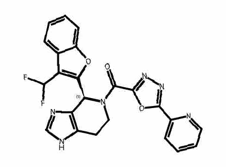 O=C(c1nnc(-c2ccccn2)o1)N1CCc2[nH]cnc2[C@H]1c1oc2ccccc2c1C(F)F